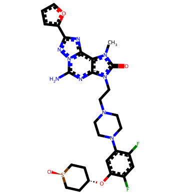 Cn1c(=O)n(CCN2CCN(c3cc(O[C@H]4CC[S@+]([O-])CC4)c(F)cc3F)CC2)c2nc(N)n3nc(-c4ccco4)nc3c21